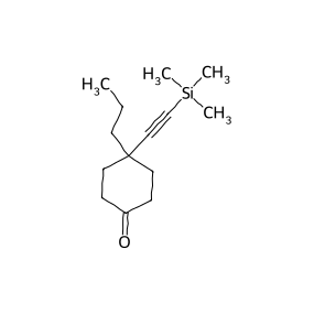 CCCC1(C#C[Si](C)(C)C)CCC(=O)CC1